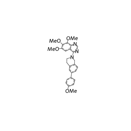 COc1ccc(-c2ccc3c(c2)CCN(c2ncnc4c(OC)c(OC)c(OC)cc24)C3)cc1